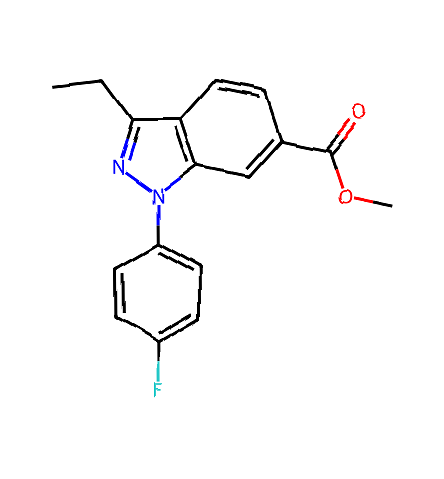 CCc1nn(-c2ccc(F)cc2)c2cc(C(=O)OC)ccc12